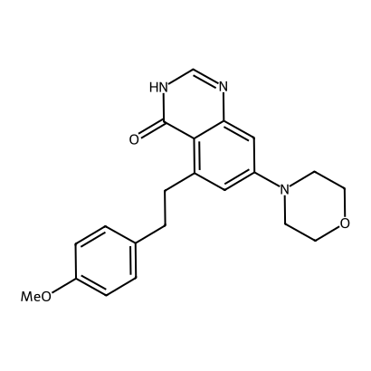 COc1ccc(CCc2cc(N3CCOCC3)cc3nc[nH]c(=O)c23)cc1